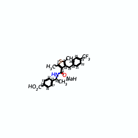 Cc1sc(C)c(C(=O)N[C@@H](C)c2ccc(C(=O)O)cc2)c1Cc1ccc(C(F)(F)F)cc1.[NaH]